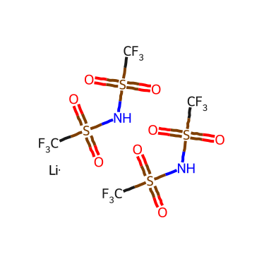 O=S(=O)(NS(=O)(=O)C(F)(F)F)C(F)(F)F.O=S(=O)(NS(=O)(=O)C(F)(F)F)C(F)(F)F.[Li]